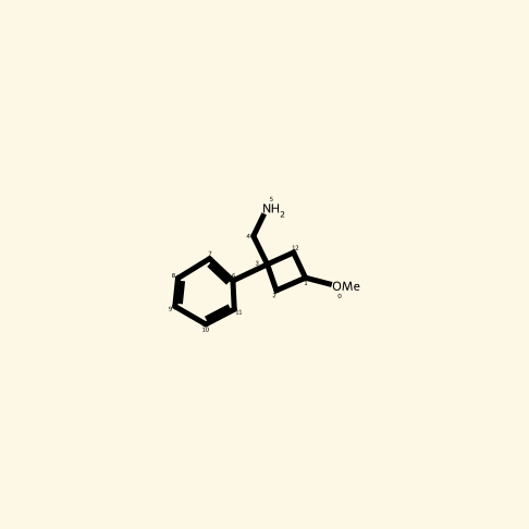 COC1CC(CN)(c2ccccc2)C1